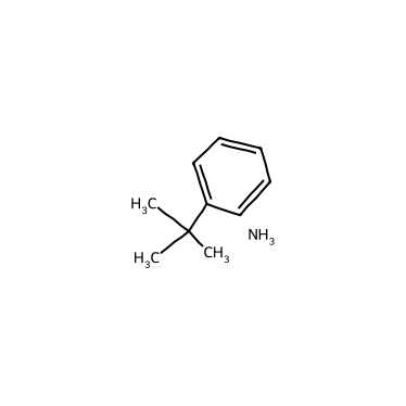 CC(C)(C)c1ccccc1.N